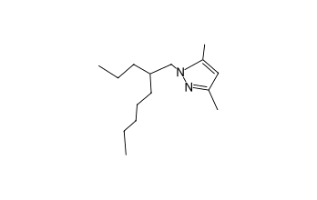 CCCCCC(CCC)Cn1nc(C)cc1C